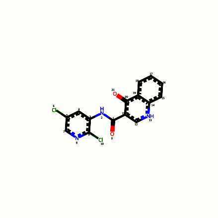 O=C(Nc1cc(Cl)cnc1Cl)c1c[nH]c2ccccc2c1=O